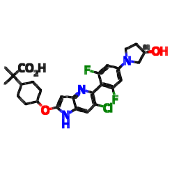 CC(C)(C(=O)O)C1CCC(Oc2cc3nc(-c4c(F)cc(N5CC[C@@H](O)C5)cc4F)c(Cl)cc3[nH]2)CC1